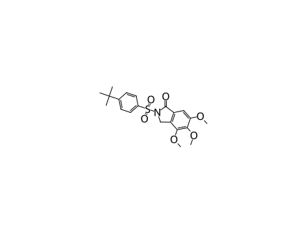 COc1cc2c(c(OC)c1OC)CN(S(=O)(=O)c1ccc(C(C)(C)C)cc1)C2=O